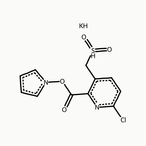 O=C(On1cccc1)c1nc(Cl)ccc1C[SH](=O)=O.[KH]